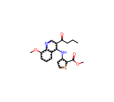 CCCC(=O)c1cnc2c(OC)cccc2c1Nc1ccsc1C(=O)OC